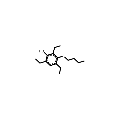 CCCCSc1c(CC)cc(CC)c(O)c1CC